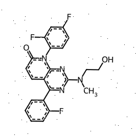 CN(CCO)c1nc(-c2ccccc2F)c2ccc(=O)n(-c3ccc(F)cc3F)c2n1